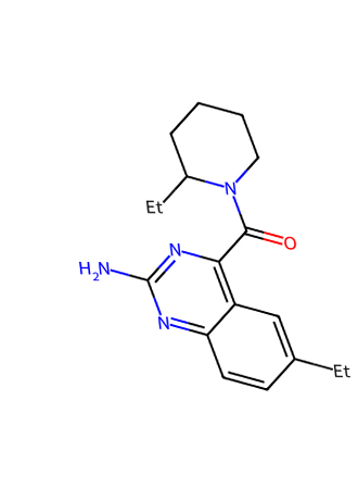 CCc1ccc2nc(N)nc(C(=O)N3CCCCC3CC)c2c1